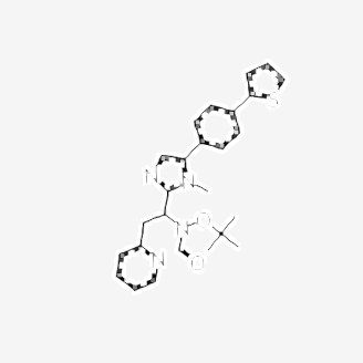 Cn1c(-c2ccc(-c3cccs3)cc2)cnc1C(Cc1ccccn1)N(C=O)OC(C)(C)C